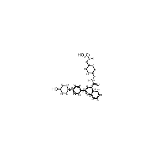 O=C(O)NCC1CCC(CNC(=O)c2cc(-c3ccc(N4CCC(O)CC4)nc3)nc3ccccc23)CC1